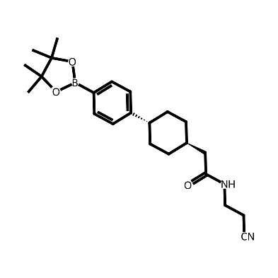 CC1(C)OB(c2ccc([C@H]3CC[C@H](CC(=O)NCCC#N)CC3)cc2)OC1(C)C